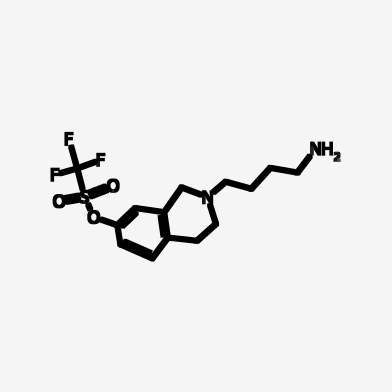 NCCCCN1CCc2ccc(OS(=O)(=O)C(F)(F)F)cc2C1